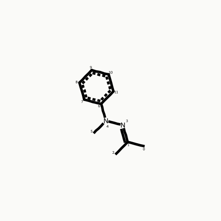 CC(C)=NN(C)c1ccccc1